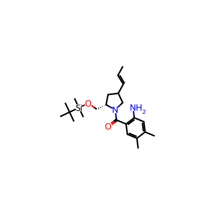 C/C=C/C1C[C@@H](CO[Si](C)(C)C(C)(C)C)N(C(=O)c2cc(C)c(C)cc2N)C1